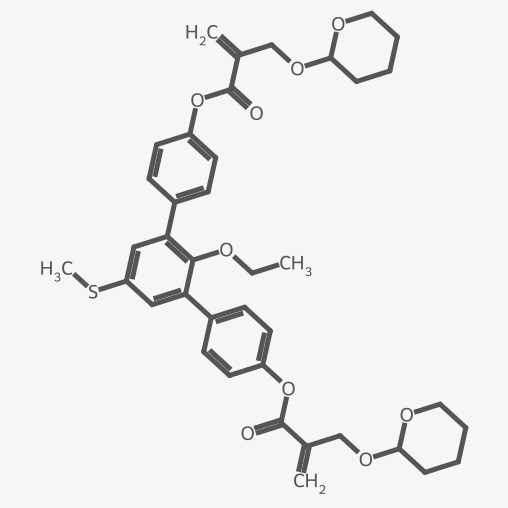 C=C(COC1CCCCO1)C(=O)Oc1ccc(-c2cc(SC)cc(-c3ccc(OC(=O)C(=C)COC4CCCCO4)cc3)c2OCC)cc1